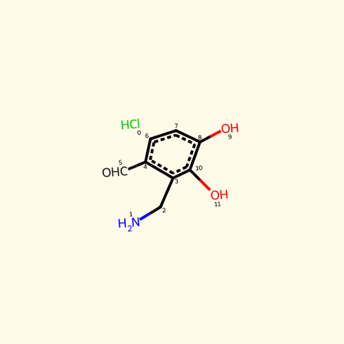 Cl.NCc1c(C=O)ccc(O)c1O